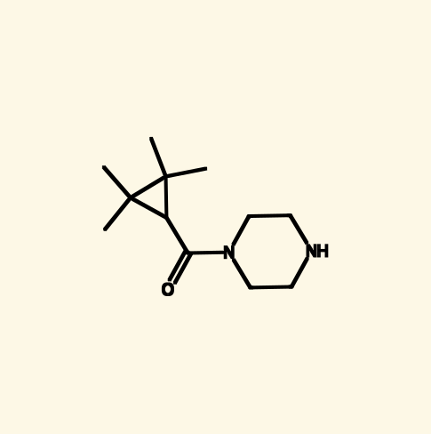 CC1(C)C(C(=O)N2CCNCC2)C1(C)C